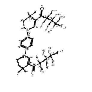 CC1(C)CCN(c2ccc(N3C=C(C(=O)C(F)(F)C(F)(F)C(F)(F)F)C(C)(C)CC3)cc2)C=C1C(=O)C(F)(F)C(F)(F)C(F)(F)F